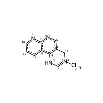 C[N+]1=CNc2c(cnc3ncccc23)C1